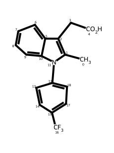 Cc1c(CC(=O)O)c2ccccc2n1-c1ccc(C(F)(F)F)cc1